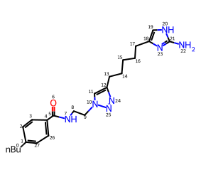 CCCCc1ccc(C(=O)NCCn2cc(CCCCCc3c[nH]c(N)n3)nn2)cc1